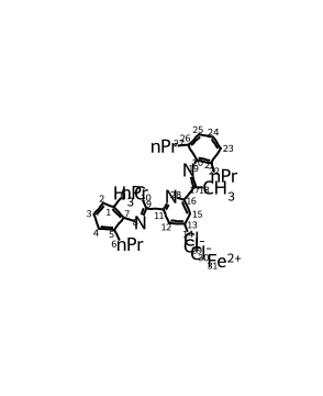 CCCc1cccc(CCC)c1N=C(C)c1cc(Cl)cc(C(C)=Nc2c(CCC)cccc2CCC)n1.[Cl-].[Cl-].[Fe+2]